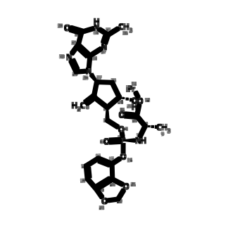 C=C1[C@H](CO[P@](=O)(N[C@@H](C)C(=O)OC(C)C)Oc2cccc3c2OCO3)[C@@H](O)C[C@@H]1n1cnc2c(=O)[nH]c(C)nc21